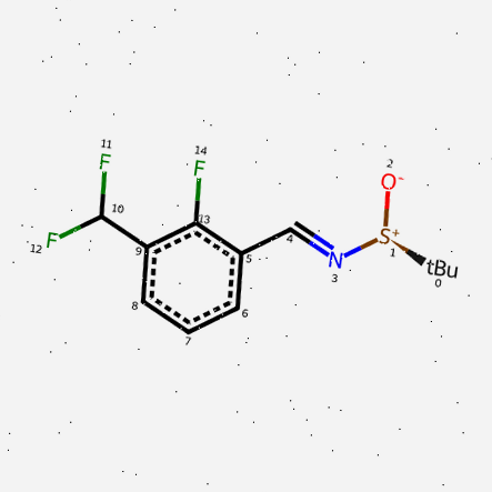 CC(C)(C)[S@+]([O-])/N=C/c1cccc(C(F)F)c1F